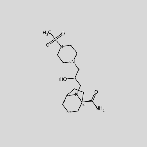 CS(=O)(=O)N1CCN(CC(O)CN2C3C[CH]C[C@@]2(C(N)=O)CC3)CC1